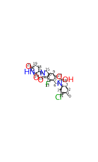 Cc1ccc(N(Cc2ccc3c(c2F)C(=O)N(C2CCC(=O)NC2=O)C3)C(=O)O)cc1Cl